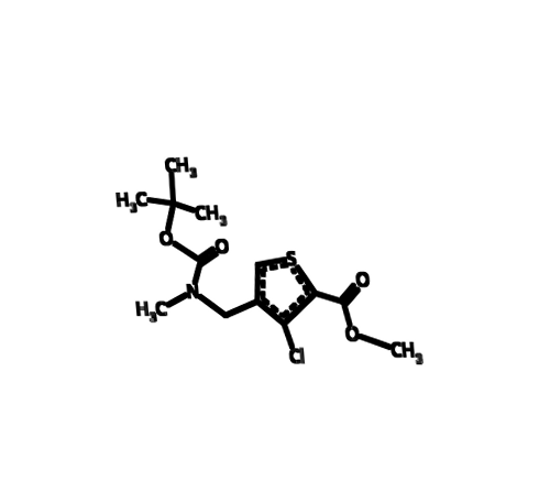 COC(=O)c1scc(CN(C)C(=O)OC(C)(C)C)c1Cl